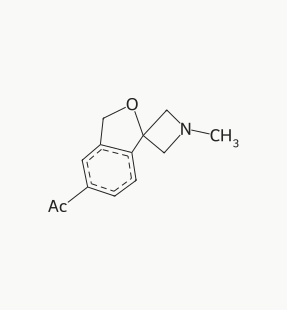 CC(=O)c1ccc2c(c1)COC21CN(C)C1